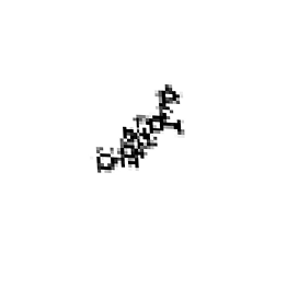 O=C(NS(=O)(=O)c1ccc(NC2CCCCC2)cc1F)c1cc(C2CC2)c(OCC2CCCC2)cc1F